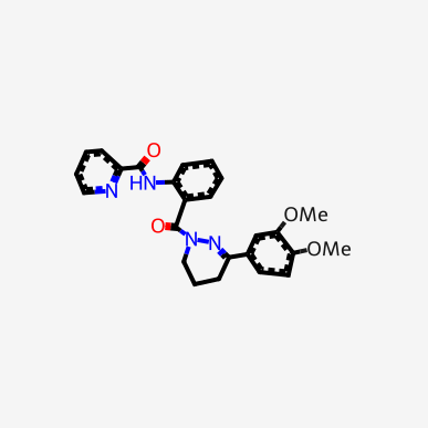 COc1ccc(C2=NN(C(=O)c3ccccc3NC(=O)c3ccccn3)CCC2)cc1OC